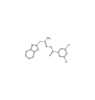 NC(Cc1nc2ccccc2o1)=NOC(=O)c1cc(Cl)cc(Cl)c1